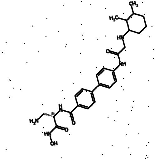 CC1CCCC(NCC(=O)Nc2ccc(-c3ccc(C(=O)N[C@@H](CN)C(=O)NO)cc3)cc2)C1C